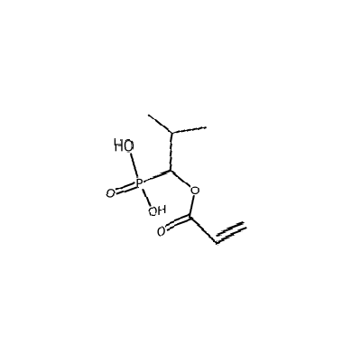 C=CC(=O)OC(C(C)C)P(=O)(O)O